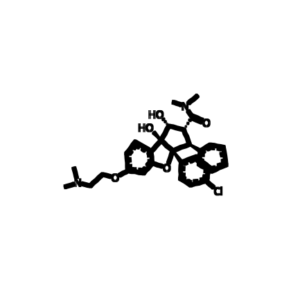 CN(C)CCOc1ccc2c(c1)O[C@@]1(c3ccc(Cl)cc3)[C@H](c3ccccc3)[C@@H](C(=O)N(C)C)[C@@H](O)[C@@]21O